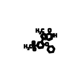 Cc1cc(-c2cc(S(C)(=O)=O)ccc2OC2CCCCC2)n2cc[nH]c(=O)c12